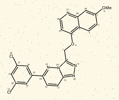 COc1ccc2c(OCc3nnc4ccc(-c5cc(Cl)cc(Cl)c5)nn34)ccnc2c1